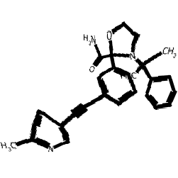 Cc1ccc(C#Cc2cccc(C3(C(N)=O)OCCN3C(C)(C)c3ccccc3)c2)cn1